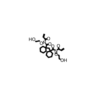 C=CC(=O)N(OCCO)C(=O)C1(CC2(C(=O)N(OCCO)C(=O)C=C)CCCCC2)CCCCC1